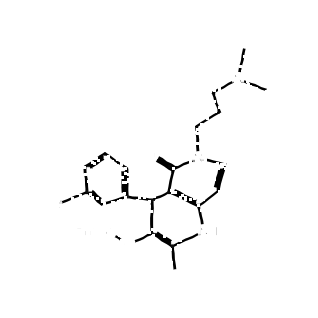 CCOC(=O)OC1=C(C)Nc2ccn(CCCN(C)C)c(=O)c2C1c1cccc(Cl)c1